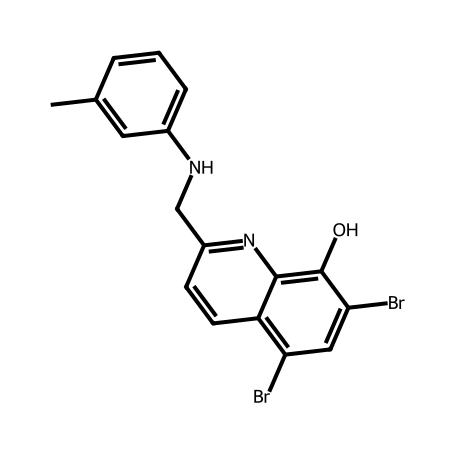 Cc1cccc(NCc2ccc3c(Br)cc(Br)c(O)c3n2)c1